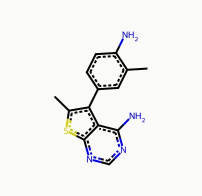 Cc1cc(-c2c(C)sc3ncnc(N)c23)ccc1N